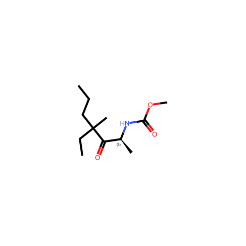 CCCC(C)(CC)C(=O)[C@H](C)NC(=O)OC